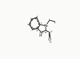 CCN1c2ccccc2NC1C=O